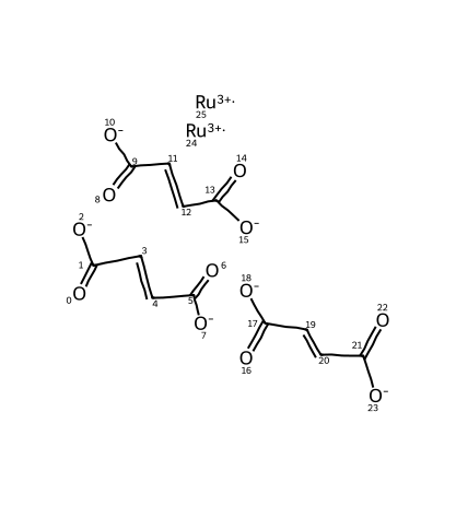 O=C([O-])/C=C/C(=O)[O-].O=C([O-])/C=C/C(=O)[O-].O=C([O-])/C=C/C(=O)[O-].[Ru+3].[Ru+3]